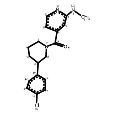 CNc1cc(C(=O)N2CCCC(c3ccc(Cl)cc3)C2)ccn1